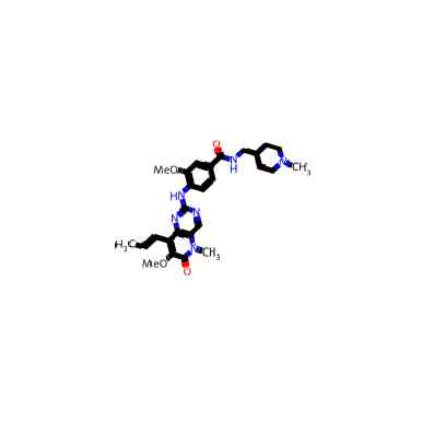 CC=Cc1c(OC)c(=O)n(C)c2cnc(Nc3ccc(C(=O)NCC4CCN(C)CC4)cc3OC)nc12